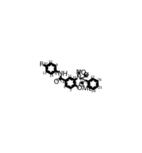 COc1ccc(C(=O)Nc2ccc(F)cc2)cc1N([N+](=O)[O-])S(=O)(=O)c1ccccc1